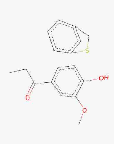 CCC(=O)c1ccc(O)c(OC)c1.c1cc2cc(c1)SC2